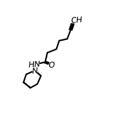 C#CCCCCC(=O)NN1CCCCC1